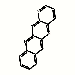 c1ccc2nc3nc4ncccc4nc3cc2c1